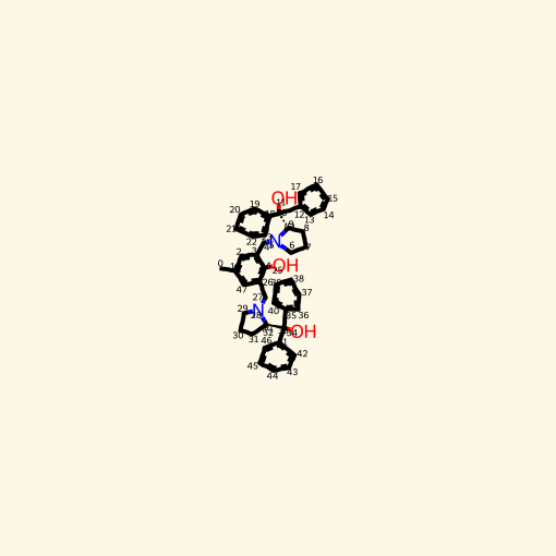 Cc1cc(CN2CCC[C@H]2C(O)(c2ccccc2)c2ccccc2)c(O)c(CN2CCC[C@@H]2C(O)(c2ccccc2)c2ccccc2)c1